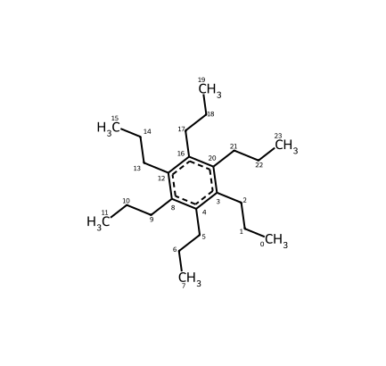 CCCc1c(CCC)c(CCC)c(CCC)c(CCC)c1CCC